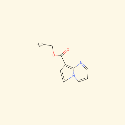 CCOC(=O)c1ccn2cccnc12